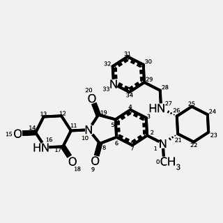 CN(c1ccc2c(c1)C(=O)N(C1CCC(=O)NC1=O)C2=O)[C@H]1CCCC[C@H]1NCc1cccnc1